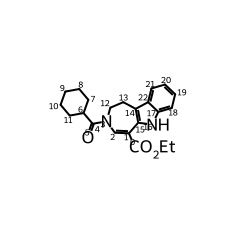 CCOC(=O)C1=CN(C(=O)C2CCCCC2)CCc2c1[nH]c1ccccc21